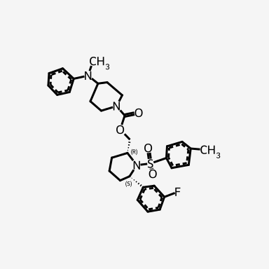 Cc1ccc(S(=O)(=O)N2[C@@H](COC(=O)N3CCC(N(C)c4ccccc4)CC3)CCC[C@H]2c2cccc(F)c2)cc1